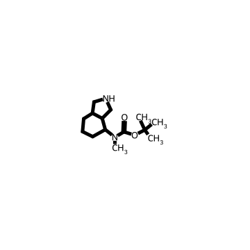 CN(C(=O)OC(C)(C)C)C1CCCC2CNCC21